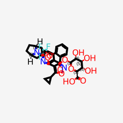 O=C(O[C@@H]1O[C@H](C(=O)O)[C@@H](O)[C@H](O)[C@H]1O)c1ccc(N2[C@@H]3CC[C@H]2C[C@@H](OCc2c(-c4ccccc4OC(F)(F)F)noc2C2CC2)C3)nc1